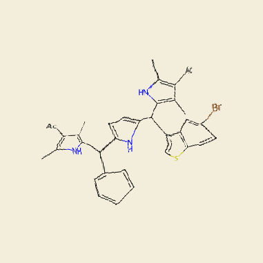 CC(=O)c1c(C)[nH]c(C(c2ccccc2)c2ccc(C(c3[nH]c(C)c(C(C)=O)c3C)c3csc4ccc(Br)cc34)[nH]2)c1C